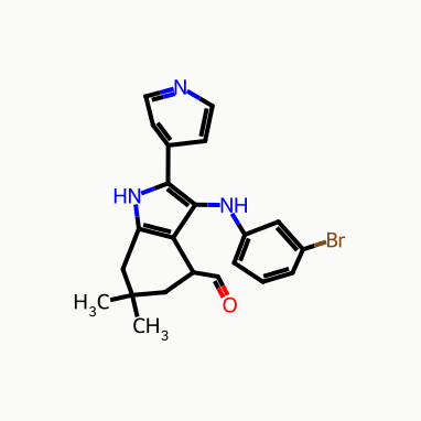 CC1(C)Cc2[nH]c(-c3ccncc3)c(Nc3cccc(Br)c3)c2C(C=O)C1